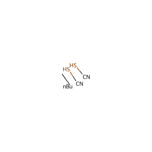 CCCCC.N#CS.N#CS